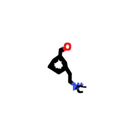 [C-]#[N+]CCc1cccc(C=O)c1